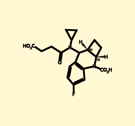 O=C(O)CCC(=O)N(C1CC1)C1c2ccc(F)cc2N(C(=O)O)[C@@H]2CC[C@H]12